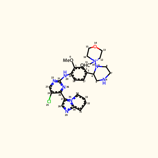 COc1cc(C2CNCCN2[N+]2(C=O)CCOCC2)ccc1Nc1ncc(Cl)c(-c2cnc3ccccn23)n1